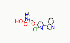 CC(C)CC(C)(COc1ccc(-c2ccnc3ccccc23)nc1Cl)NC(=O)O